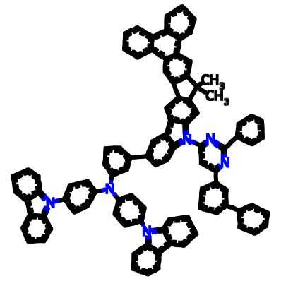 CC1(C)c2cc3c4ccccc4c4ccccc4c3cc2-c2cc3c4cc(-c5cccc(N(c6ccc(-n7c8ccccc8c8ccccc87)cc6)c6ccc(-n7c8ccccc8c8ccccc87)cc6)c5)ccc4n(-c4cc(-c5cccc(-c6ccccc6)c5)nc(-c5ccccc5)n4)c3cc21